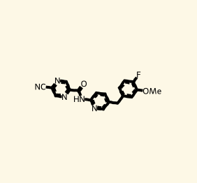 COc1cc(Cc2ccc(NC(=O)c3cnc(C#N)cn3)nc2)ccc1F